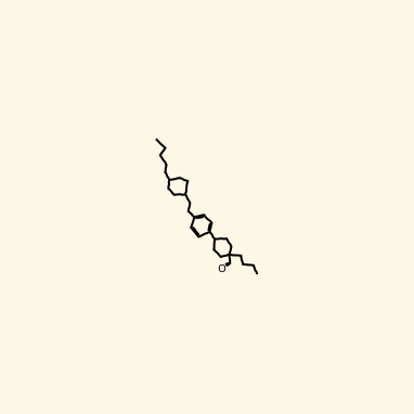 CCCCCC1CCC(CCc2ccc(C3CCC(C=O)(CCCC)CC3)cc2)CC1